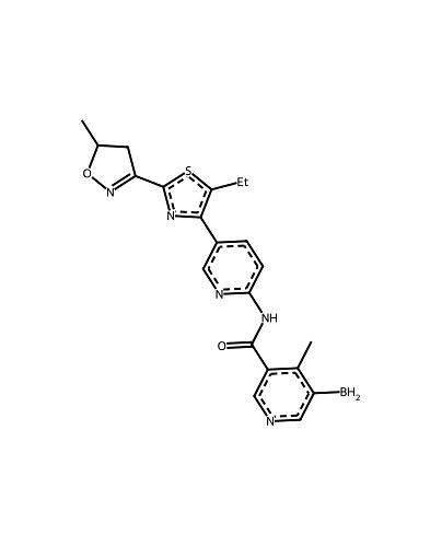 Bc1cncc(C(=O)Nc2ccc(-c3nc(C4=NOC(C)C4)sc3CC)cn2)c1C